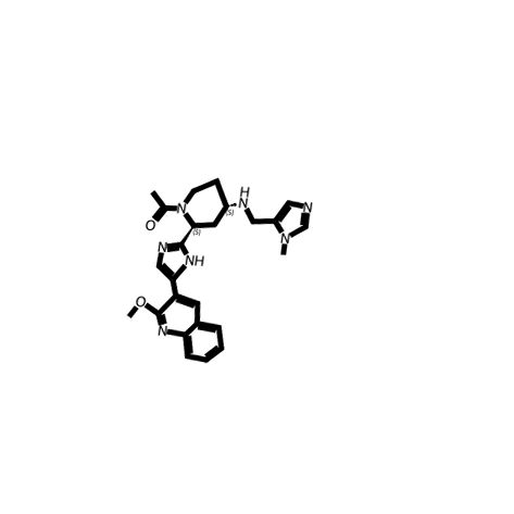 COc1nc2ccccc2cc1-c1cnc([C@@H]2C[C@@H](NCc3cncn3C)CCN2C(C)=O)[nH]1